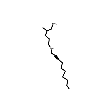 CCCCCCCC#CCNCCCC(C)CN